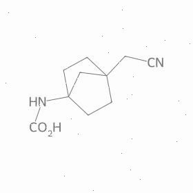 N#CCC12CCC(NC(=O)O)(CC1)C2